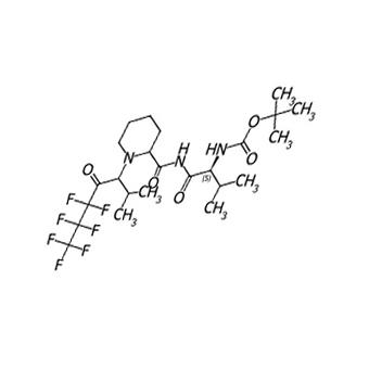 CC(C)C(C(=O)C(F)(F)C(F)(F)C(F)(F)F)N1CCCCC1C(=O)NC(=O)[C@@H](NC(=O)OC(C)(C)C)C(C)C